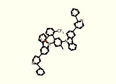 Cc1cc(-n2c3ccccc3c3cc(-c4ccnc(-c5ccccc5)c4)ccc32)c(-c2c(C(F)(F)F)cccc2C(F)(F)F)cc1-n1c2ccccc2c2cc(-c3ccnc(-c4ccccc4)c3)ccc21